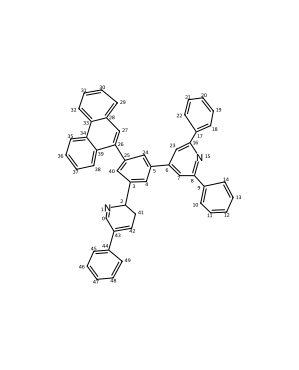 C1=NC(c2cc(-c3cc(-c4ccccc4)nc(-c4ccccc4)c3)cc(-c3cc4ccccc4c4ccccc34)c2)CC=C1c1ccccc1